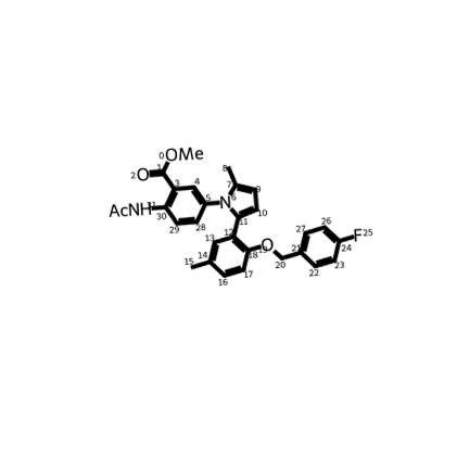 COC(=O)c1cc(-n2c(C)ccc2-c2cc(C)ccc2OCc2ccc(F)cc2)ccc1NC(C)=O